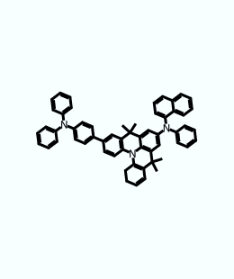 CC1(C)C2=C(CCC=C2)N2c3ccc(-c4ccc(N(c5ccccc5)c5ccccc5)cc4)cc3C(C)(C)c3cc(N(c4ccccc4)c4cccc5ccccc45)cc1c32